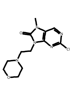 Cn1c(=O)n(CCN2CCOCC2)c2nc(Cl)ncc21